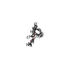 COC[C@@H]1NC(=O)[C@H](C)N(Cc2c(F)cc(Cl)cc2Oc2ccc(-c3cnc(CN(C)C)n3C)nc2)C(=O)C[C@@H](CC(F)(F)F)C(=O)N2CCC[C@@](Cc3ccc(Cl)cc3)(C2)NC1=O